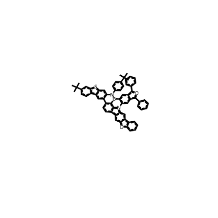 CC(C)(C)c1ccc(N2B3c4cc5c(-c6ccccc6)oc(-c6ccccc6)c5cc4-n4c5cc6c(cc5c5ccc(c3c54)-c3cc4c(cc32)sc2cc(C(C)(C)C)ccc24)oc2ccccc26)cc1